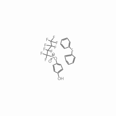 O=S(=O)(Oc1ccc(O)cc1)C(F)(F)C(F)(F)C(F)(F)C(F)(F)F.c1ccc(Sc2ccccc2)cc1